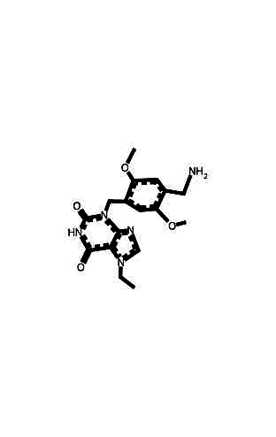 CCn1cnc2c1c(=O)[nH]c(=O)n2Cc1cc(OC)c(CN)cc1OC